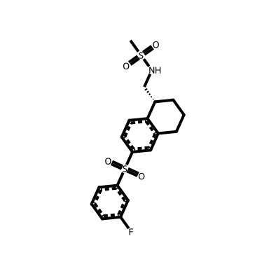 CS(=O)(=O)NC[C@@H]1CCCc2cc(S(=O)(=O)c3cccc(F)c3)ccc21